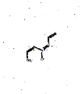 C=C/C=[N+]([O-])\C=C/C(C)(C)C